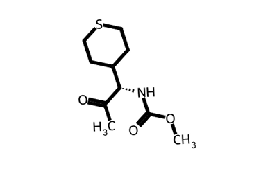 COC(=O)N[C@H](C(C)=O)C1CCSCC1